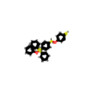 S=C1C=CC(OSc2ccc(S(Oc3ccccc3)(c3ccccc3)c3ccccc3)cc2)=CC1